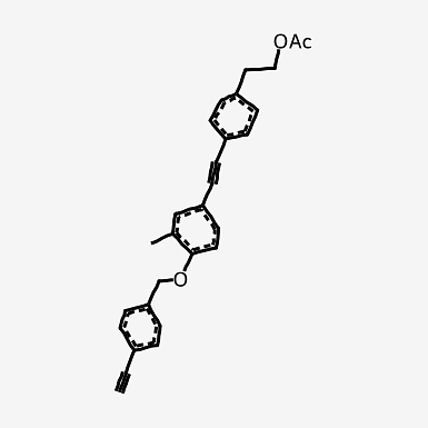 C#Cc1ccc(COc2ccc(C#Cc3ccc(CCOC(C)=O)cc3)cc2C)cc1